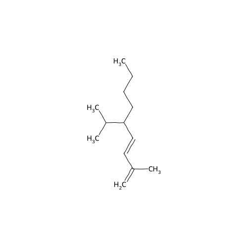 C=C(C)C=CC(CCCC)C(C)C